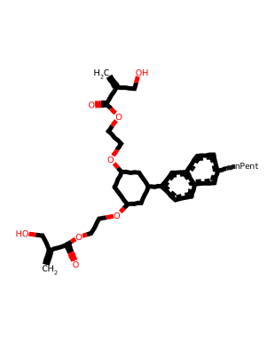 C=C(CO)C(=O)OCCOC1CC(OCCOC(=O)C(=C)CO)CC(c2ccc3cc(CCCCC)ccc3c2)C1